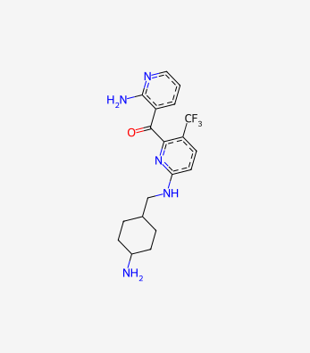 Nc1ncccc1C(=O)c1nc(NCC2CCC(N)CC2)ccc1C(F)(F)F